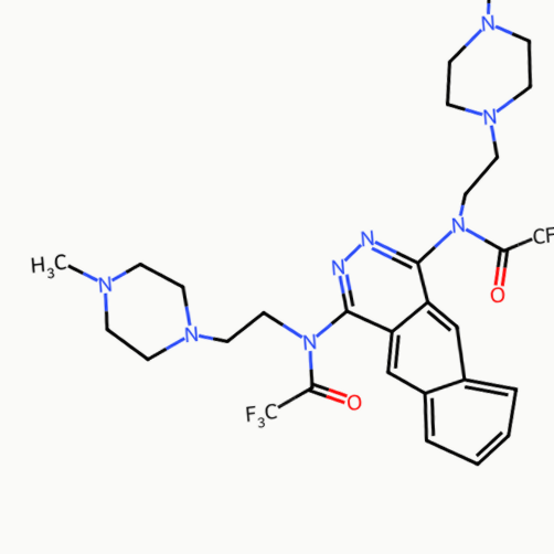 CN1CCN(CCN(C(=O)C(F)(F)F)c2nnc(N(CCN3CCN(C)CC3)C(=O)C(F)(F)F)c3cc4ccccc4cc23)CC1